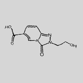 O=C(O)c1ccc2nn(CCO)c(=O)n2c1